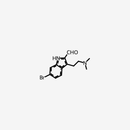 CN(C)CCc1c(C=O)[nH]c2cc(Br)ccc12